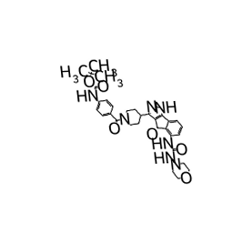 CC(C)(C)OC(=O)Nc1ccc(C(=O)N2CCC(c3n[nH]c4c3C(=O)c3c(NC(=O)NN5CCOCC5)cccc3-4)CC2)cc1